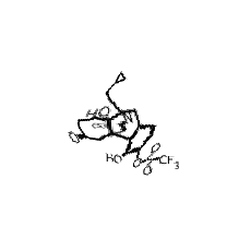 O=C1CC[C@@]2(O)C3Cc4ccc(OS(=O)(=O)C(F)(F)F)c(O)c4[C@@]2(CCN3CC2CC2)C1